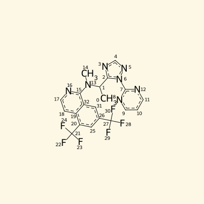 CC(c1ncnn1-c1ncccn1)N(C)c1nccc2c(C(F)(F)F)cc(C(F)(F)F)cc12